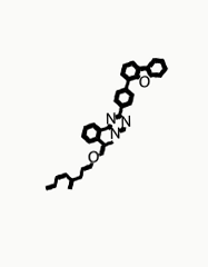 C=C/C=C\C(=C)C/C=C/O/C=C(/C)c1ccccc1-c1ncnc(-c2ccc(-c3cccc4c3oc3ccccc34)cc2)n1